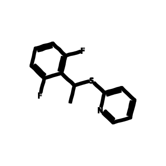 CC(Sc1ccccn1)c1c(F)cccc1F